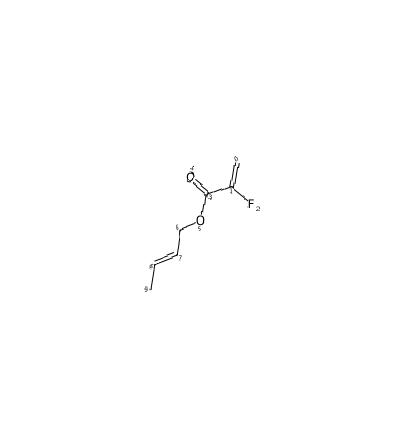 C=C(F)C(=O)OCC=CC